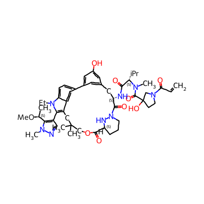 C=CC(=O)N1CCC(O)(C(=O)N(C)[C@H](C(=O)N[C@H]2Cc3cc(O)cc(c3)-c3ccc4c(c3)c(c(-c3cnn(C)c3[C@H](C)OC)n4CC)CC(C)(C)COC(=O)[C@@H]3CCCN(N3)C2=O)C(C)C)C1